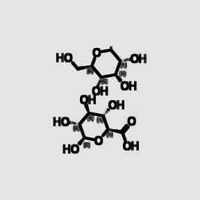 O=C(O)[C@H]1O[C@@H](O)[C@H](O)[C@@H](O)[C@@H]1O.OC[C@H]1O[CH][C@H](O)[C@@H](O)[C@@H]1O